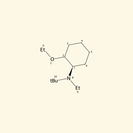 CCOC1CCCC[C@H]1N(CC)C(C)(C)C